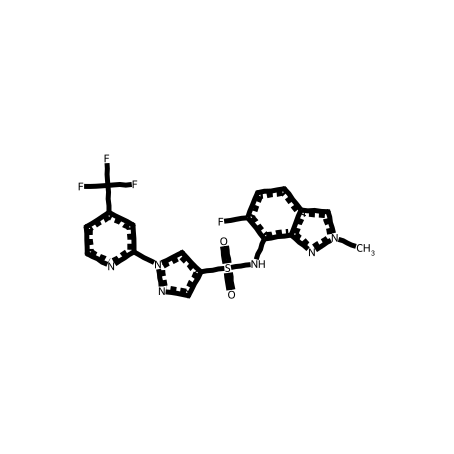 Cn1cc2ccc(F)c(NS(=O)(=O)c3cnn(-c4cc(C(F)(F)F)ccn4)c3)c2n1